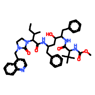 CCC(C)C(C(=O)NC(Cc1ccccc1)CC(O)C(Cc1ccccc1)NC(=O)C(NC(=O)OC)C(C)(C)C)N1CCN(Cc2ccnc3ccccc23)C1=O